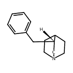 c1ccc(C[C@H]2CN3CCC2CC3)cc1